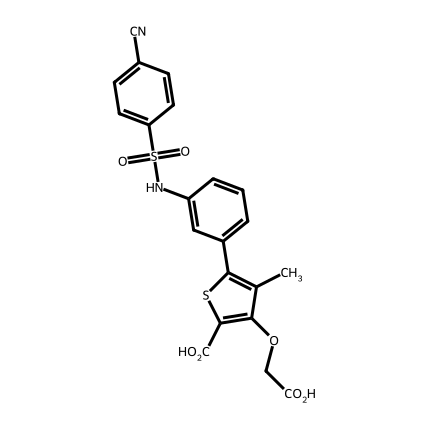 Cc1c(-c2cccc(NS(=O)(=O)c3ccc(C#N)cc3)c2)sc(C(=O)O)c1OCC(=O)O